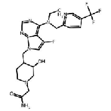 CCN(Cc1ccc(C(F)(F)F)cn1)c1ncnc2c1c(F)cn2CC1CCN(CC(N)=O)C[C@@H]1O